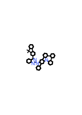 CC1(C)c2ccccc2-c2ccc(-c3nc(-n4c5ccccc5c5cc6c(cc54)c4cccc5c4n6-c4ccccc4-c4ccccc4-5)nc4ccccc34)cc21